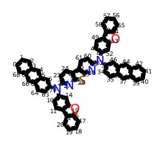 c1ccc2cc3cc(N(c4ccc5c(c4)oc4ccccc45)c4ccc5c(n4)sc4nc(N(c6ccc7cc8ccccc8cc7c6)c6ccc7c(c6)oc6ccccc67)ccc45)ccc3cc2c1